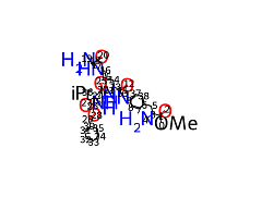 COC(=O)[C@@H](N)Cc1ccc(NC(=O)C(CCCNC(N)=O)NC(=O)[C@H](NC(=O)OCc2ccccc2)C(C)C)cc1